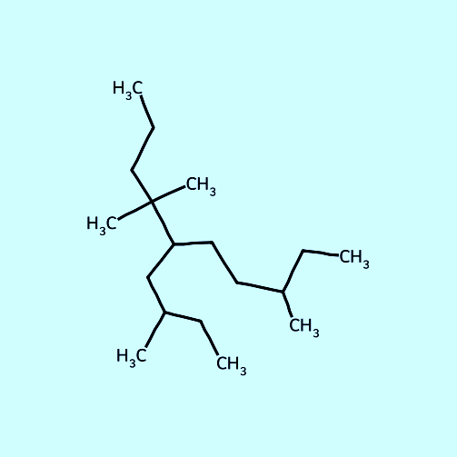 CCCC(C)(C)C(CCC(C)CC)CC(C)CC